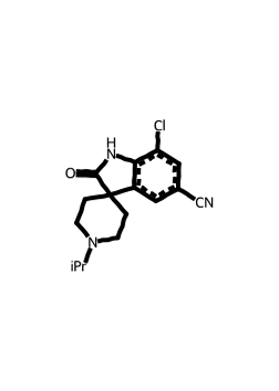 CC(C)N1CCC2(CC1)C(=O)Nc1c(Cl)cc(C#N)cc12